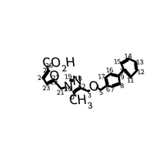 Cc1c(COCc2ccc(-c3ccccc3)cc2)ncn1Cc1ccc(C(=O)O)o1